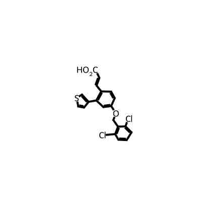 O=C(O)C=Cc1ccc(OCc2c(Cl)cccc2Cl)cc1-c1ccsc1